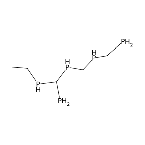 CCPC(P)PCPCP